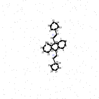 C(=C\c1c2ccccc2c(/C=C/c2ccccc2)c2ncccc12)/c1ccccc1